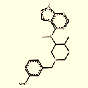 COc1cccc(CN2CCC(C)C(N(C)c3ncnc4[nH]ccc34)C2)c1